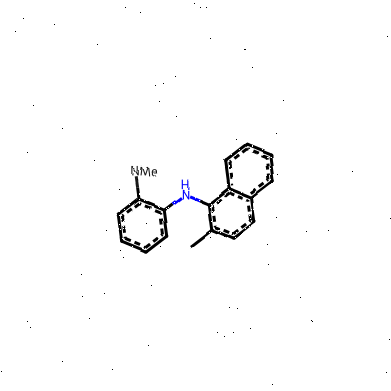 CNc1ccccc1Nc1c(C)ccc2ccccc12